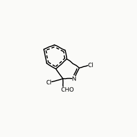 O=CC1(Cl)N=C(Cl)c2ccccc21